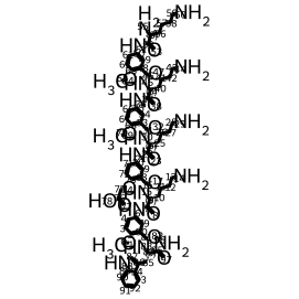 COc1ccc(NC(=O)[C@H](CCCCN)NC(=O)c2cc(NC(=O)[C@H](CCCCN)NC(=O)c3cc(NC(=O)[C@H](CCCCN)NC(=O)c4cc(NC(=O)[C@@H](N)CCCCN)ccc4OC)ccc3OC)ccc2OCC(=O)O)cc1C(=O)N[C@@H](Cc1c[nH]c2ccccc12)C(N)=O